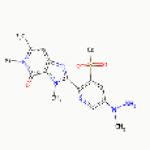 CCn1c(C(F)(F)F)cc2nc(-c3ncc(N(C)N)cc3S(=O)(=O)CC)n(C)c2c1=O